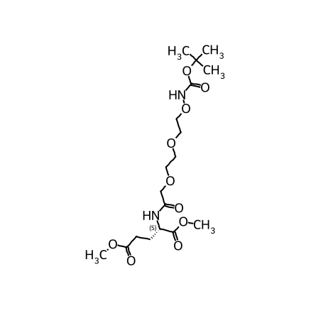 COC(=O)CC[C@H](NC(=O)COCCOCCONC(=O)OC(C)(C)C)C(=O)OC